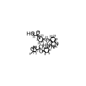 Cc1cc(C(Cl)Oc2cccc(Nc3ncnc4cccc(OC[C@@H]5CCCN(C(=O)CO)C5)c34)c2)no1